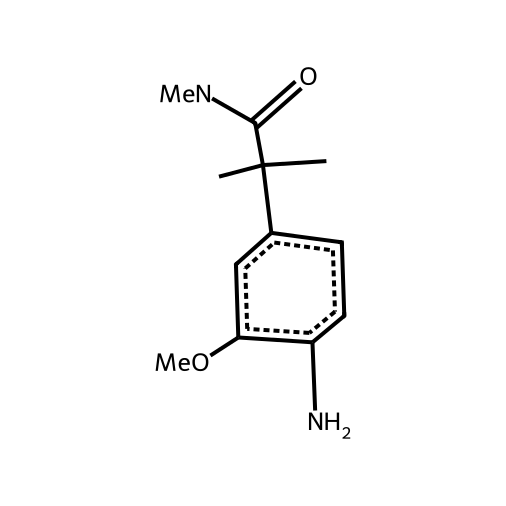 CNC(=O)C(C)(C)c1ccc(N)c(OC)c1